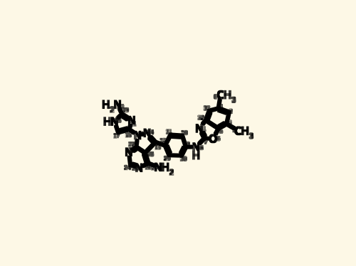 Cc1cc(C)c2oc(Nc3ccc(-c4nn(-c5c[nH]c(N)n5)c5ncnc(N)c45)cc3)nc2c1